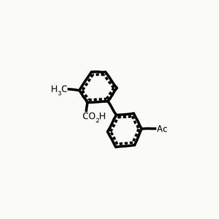 CC(=O)c1cccc(-c2cccc(C)c2C(=O)O)c1